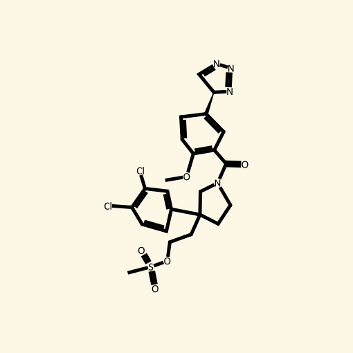 COc1ccc([C@H]2C=NN=N2)cc1C(=O)N1CCC(CCOS(C)(=O)=O)(c2ccc(Cl)c(Cl)c2)C1